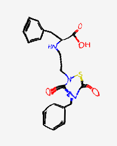 O=C(O)C(Cc1ccccc1)NCCn1sc(=O)n(Cc2ccccc2)c1=O